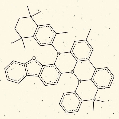 Cc1cc2c3c(c1)N(c1cc4c(cc1C)C(C)(C)CCC4(C)C)c1c(ccc4c1oc1ccccc14)B3N1c3ccccc3S(C)(C)c3cccc-2c31